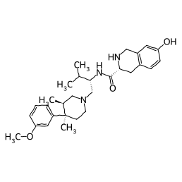 COc1cccc([C@]2(C)CCN(C[C@@H](NC(=O)[C@H]3Cc4ccc(O)cc4CN3)C(C)C)C[C@@H]2C)c1